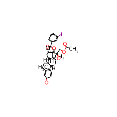 CC(=O)OCC(=O)[C@@]1(OC(=O)c2cccc(I)c2)[C@@H](C)C[C@H]2[C@@H]3CCC4=CC(=O)C=C[C@]4(C)[C@H]3CC[C@@]21C